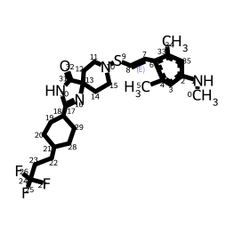 CNc1cc(C)c(/C=C/SN2CCC3(CC2)N=C(C2CCC(CCC(F)(F)F)CC2)NC3=O)c(C)c1